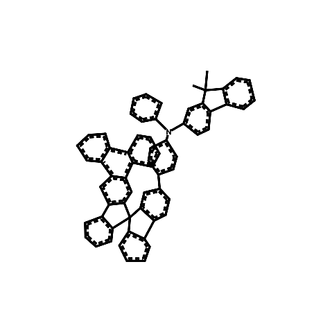 CC1(C)c2ccccc2-c2ccc(N(c3ccccc3)c3ccc(-c4ccc5c(c4)C4(c6ccccc6-5)c5ccccc5-c5cc6c7ccccc7c7ccccc7c6cc54)cc3)cc21